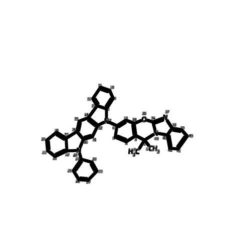 CC1(C)c2ccc(-n3c4ccccc4c4cc5c6ccccc6n(-c6ccccc6)c5cc43)cc2Oc2nc3ccccc3n21